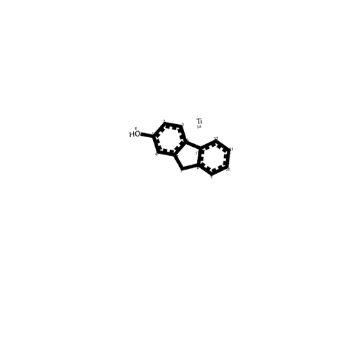 Oc1ccc2c(c1)Cc1ccccc1-2.[Ti]